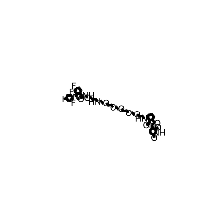 O=C1CCC(N2C(=O)c3cccc(NCCOCCOCCOCCOCCOCCNCCCONC(=O)c4ccc(F)c(F)c4Nc4ccc(I)cc4F)c3C2=O)C(=O)N1